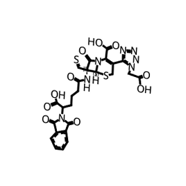 O=C(O)Cn1nnnc1C1=C(C(=O)O)N2C(=O)[C@@](C=S)(NC(=O)CCCC(C(=O)O)N3C(=O)c4ccccc4C3=O)[C@@H]2SC1